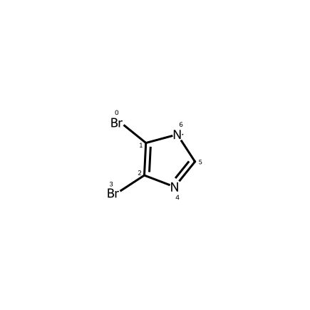 BrC1=C(Br)N=C[N]1